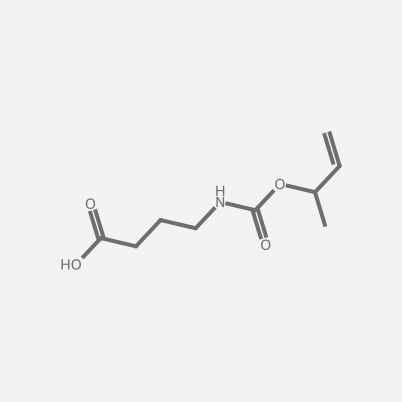 C=CC(C)OC(=O)NCCCC(=O)O